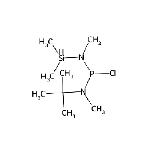 CN([SiH](C)C)P(Cl)N(C)C(C)(C)C